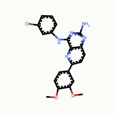 COc1ccc(-c2ccc3nc(N)nc(Nc4cccc(Cl)c4)c3n2)cc1OC